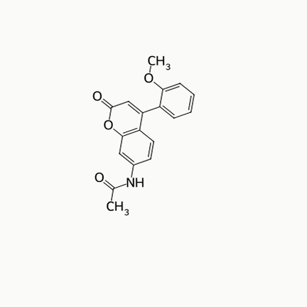 COc1ccccc1-c1cc(=O)oc2cc(NC(C)=O)ccc12